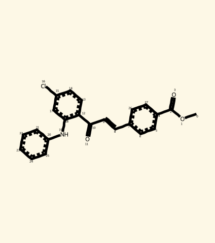 COC(=O)c1ccc(C=CC(=O)c2ccc(Cl)cc2Nc2ccccc2)cc1